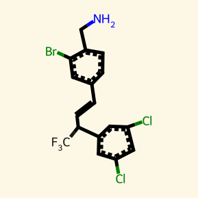 NCc1ccc(C=CC(c2cc(Cl)cc(Cl)c2)C(F)(F)F)cc1Br